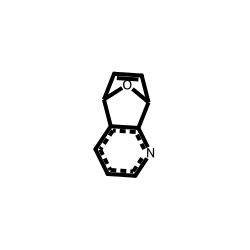 C1=CC2OC1c1cccnc12